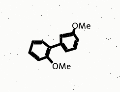 COc1cccc(-c2[c]cccc2OC)c1